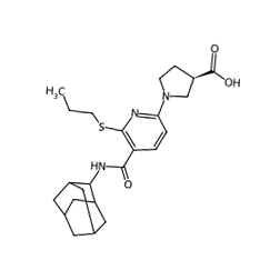 CCCSc1nc(N2CC[C@@H](C(=O)O)C2)ccc1C(=O)NC1C2CC3CC(C2)CC1C3